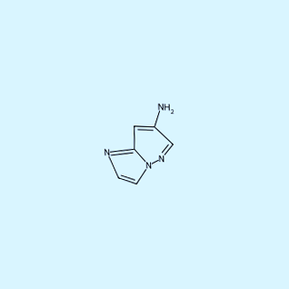 Nc1cnn2ccnc2c1